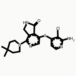 CC1(C)CCN(c2ncc(Sc3ccnc(N)c3Cl)c3c2CNC3=O)CC1